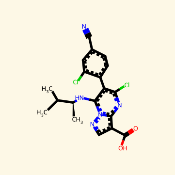 CC(C)[C@H](C)Nc1c(-c2ccc(C#N)cc2Cl)c(Cl)nc2c(C(=O)O)cnn12